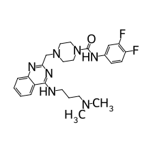 CN(C)CCCNc1nc(CN2CCN(C(=O)Nc3ccc(F)c(F)c3)CC2)nc2ccccc12